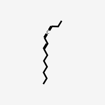 CCC=C=CC=CCCCCCC